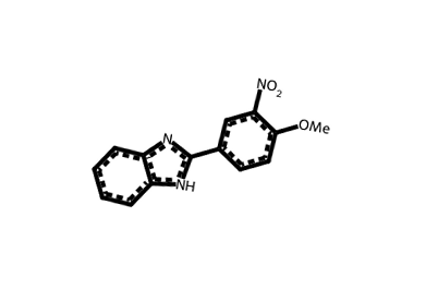 COc1ccc(-c2nc3ccccc3[nH]2)cc1[N+](=O)[O-]